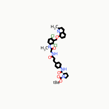 Cc1ccc2cccc(OCc3c(Cl)ccc(N(C)C(=O)CNC(=O)/C=C/c4ccc(NC(=O)[C@@H]5CCCN5C(=O)OC(C)(C)C)cc4)c3Cl)c2n1